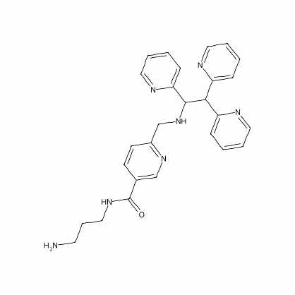 NCCCNC(=O)c1ccc(CNC(c2ccccn2)C(c2ccccn2)c2ccccn2)nc1